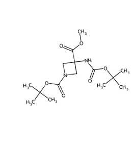 COC(=O)C1(NC(=O)OC(C)(C)C)CN(C(=O)OC(C)(C)C)C1